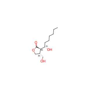 CCCCCC[C@H](O)[C@@H]1C(=O)OC[C@H]1CO